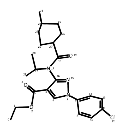 CCOC(=O)c1cn(-c2ccc(Cl)cc2)nc1N(C(=O)C1CCC(C)CC1)C(C)C